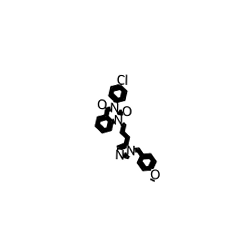 COc1ccc(Cn2cncc2CCCn2c(=O)n(-c3ccc(Cl)cc3)c(=O)c3ccccc32)cc1